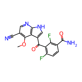 COc1c(C#N)cnc2[nH]cc(C(=O)c3c(F)ccc(C(N)=O)c3F)c12